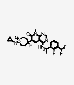 C[C@@H](Nc1ncnc2c1cc(C1(F)CCS(=O)(=NC3CC3)CC1)c(=O)n2C)c1cccc(C(F)F)c1F